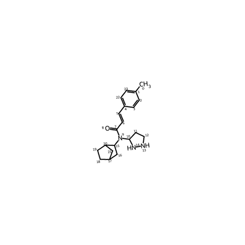 Cc1ccc(/C=C/C(=O)N(C2CCNN2)C2CC3CCC2C3)cc1